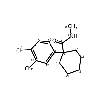 CNC(=O)C1(c2ccc(Cl)c(Cl)c2)CCCCC1